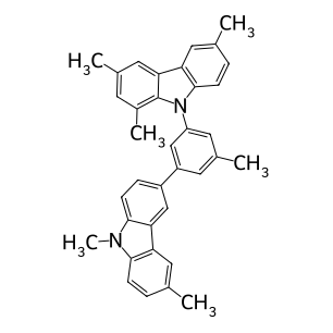 Cc1cc(-c2ccc3c(c2)c2cc(C)ccc2n3C)cc(-n2c3ccc(C)cc3c3cc(C)cc(C)c32)c1